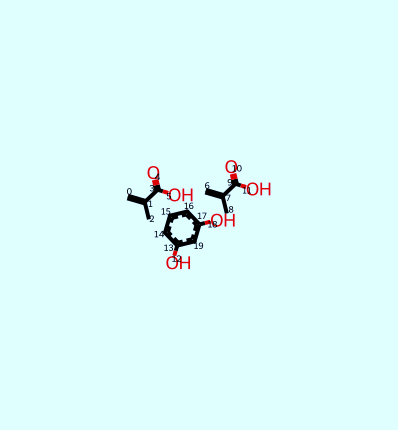 C=C(C)C(=O)O.C=C(C)C(=O)O.Oc1cccc(O)c1